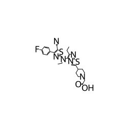 CCc1nc2sc(C3CCN(CC(=O)O)CC3)cn2c1N(CC)c1nc(-c2ccc(F)cc2)c(C#N)s1